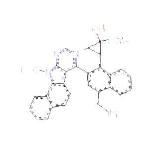 COC1(O)C2c3c(cc(CC(C)C)c4ccccc34)-c3c4c5ccc6ccccc6c5n(C)c4nc[n+]3C21